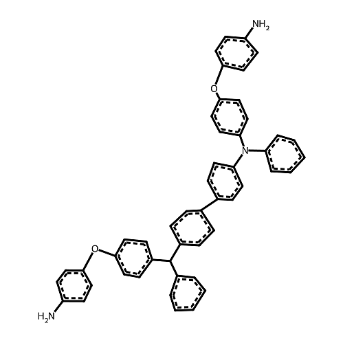 Nc1ccc(Oc2ccc(C(c3ccccc3)c3ccc(-c4ccc(N(c5ccccc5)c5ccc(Oc6ccc(N)cc6)cc5)cc4)cc3)cc2)cc1